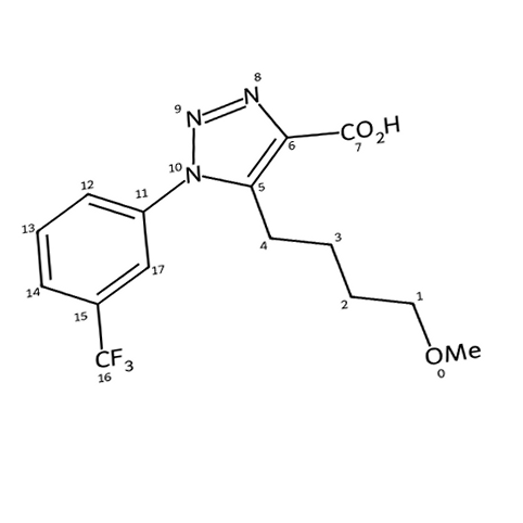 COCCCCc1c(C(=O)O)nnn1-c1cccc(C(F)(F)F)c1